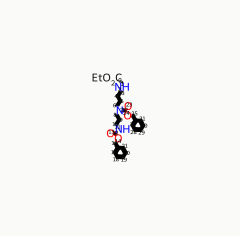 CCOC(=O)CNCCCCN(CCCNC(=O)OCc1ccccc1)C(=O)OCc1ccccc1